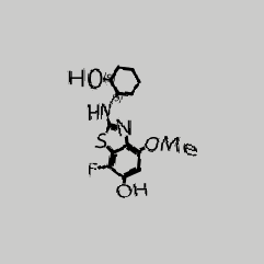 COc1cc(O)c(F)c2sc(N[C@H]3CCCC[C@@H]3O)nc12